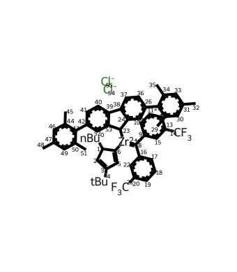 CCCCC1C=C(C(C)(C)C)C=[C]1[Zr+2](=[C](c1cccc(C(F)(F)F)c1)c1cccc(C(F)(F)F)c1)[CH]1c2cc(-c3c(C)cc(C)cc3C)ccc2-c2ccc(-c3c(C)cc(C)cc3C)cc21.[Cl-].[Cl-]